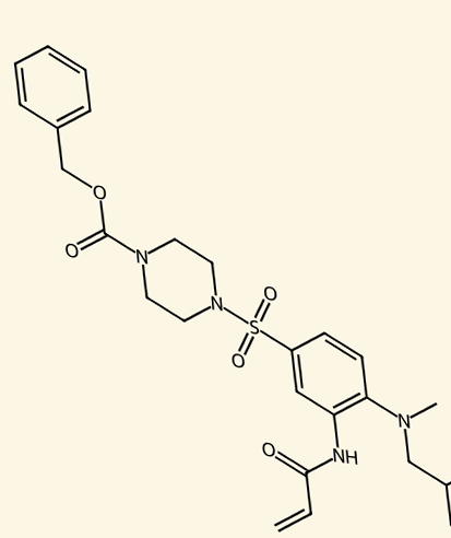 C=CC(=O)Nc1cc(S(=O)(=O)N2CCN(C(=O)OCc3ccccc3)CC2)ccc1N(C)CC(C)C